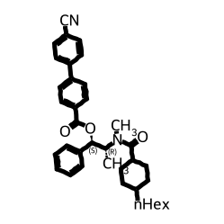 CCCCCCC1CCC(C(=O)N(C)[C@H](C)[C@@H](OC(=O)c2ccc(-c3ccc(C#N)cc3)cc2)c2ccccc2)CC1